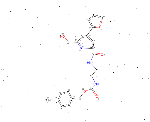 O=C(NCCNC(=O)c1cc(-c2ccco2)cc(CO)n1)OCc1ccc([N+](=O)[O-])cc1